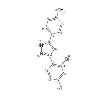 Cc1ccc(-c2cc(-c3ccc(I)cc3O)n[nH]2)cc1